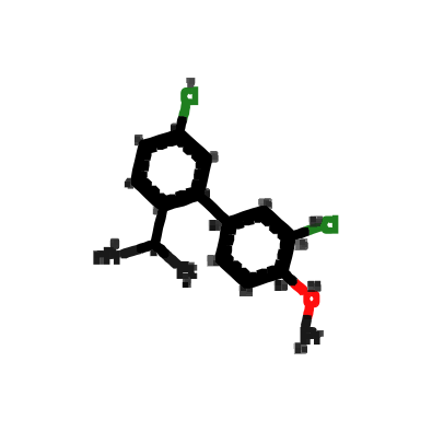 CCCC(CC)c1ccc(Cl)cc1-c1ccc(OC(C)C)c(Cl)c1